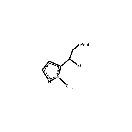 CCCCCCC(CC)c1ccnn1C